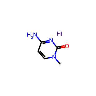 Cn1ccc(N)nc1=O.I